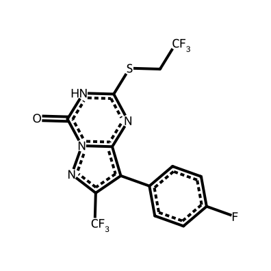 O=c1[nH]c(SCC(F)(F)F)nc2c(-c3ccc(F)cc3)c(C(F)(F)F)nn12